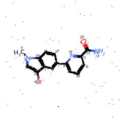 Cn1cc(Br)c2cc(-c3cccc(C(N)=O)n3)ccc21